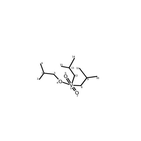 CC(C)C[O][V](=[O])(=[O])([CH2]C(C)C)[CH2]C(C)C